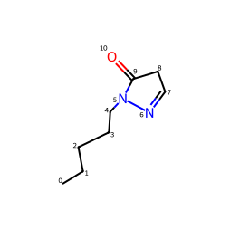 CCCCCN1N=CCC1=O